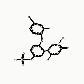 CCS(=O)(=O)Nc1ccc(Oc2ccc(Cl)cc2I)c(-c2cn(C)c(=O)cc2Cl)c1